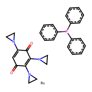 O=C1C=C(N2CC2)C(=O)C(N2CC2)=C1N1CC1.[Ru].c1ccc(P(c2ccccc2)c2ccccc2)cc1